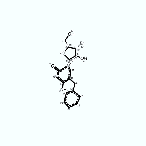 Nc1nc(=O)n([C@@H]2O[C@H](CO)[C@H](Br)[C@H]2O)cc1Cc1ccccc1